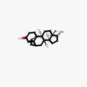 CC(=O)[C@H]1CC[C@H]2[C@@H]3CC4CC[C@@]5(CCC(=O)C=C45)[C@H]3CC[C@]12C